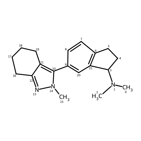 CN(C)C1CCc2ccc(-c3c4c(nn3C)CCCC4)cc21